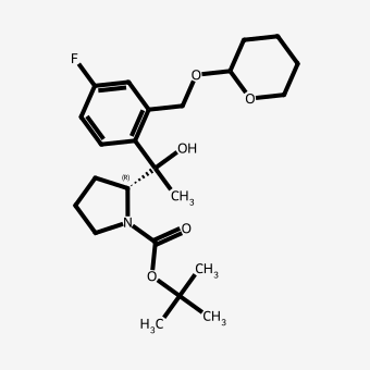 CC(C)(C)OC(=O)N1CCC[C@@H]1C(C)(O)c1ccc(F)cc1COC1CCCCO1